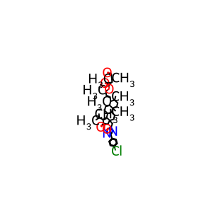 CC(CCC1(C)C(C)CCC2(C)C3CCC4(Cc5nc(-c6ccc(Cl)cc6)no5)CC(=O)C(C(C)C)=C4C3CCC12)OC(=O)CC(C)(C)C=O